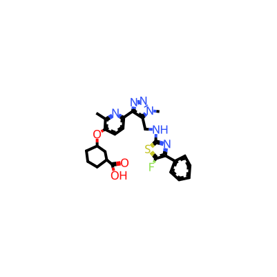 Cc1nc(-c2nnn(C)c2CNc2nc(-c3ccccc3)c(F)s2)ccc1OC1CCCC(C(=O)O)C1